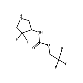 O=C(NC1CNCC1(F)F)OCC(F)(F)F